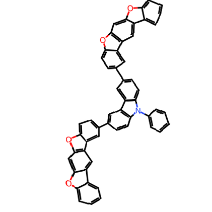 c1ccc(-n2c3ccc(-c4ccc5oc6cc7oc8ccccc8c7cc6c5c4)cc3c3cc(-c4ccc5oc6cc7oc8ccccc8c7cc6c5c4)ccc32)cc1